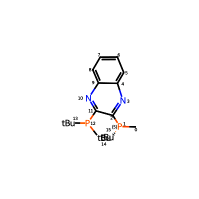 C[P@@](c1nc2ccccc2nc1P(C(C)(C)C)C(C)(C)C)C(C)(C)C